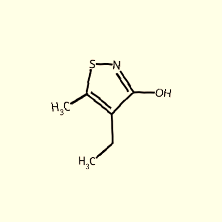 CCc1c(O)nsc1C